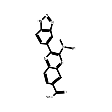 COC(=O)c1ccc2nc(-c3ccc4[nH]nnc4c3)c(N(C)C(C)C)nc2c1